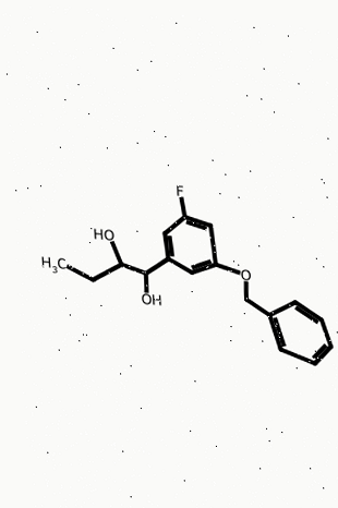 CCC(O)C(O)c1cc(F)cc(OCc2ccccc2)c1